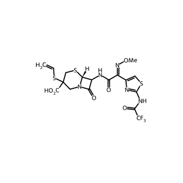 C=CSC1(C(=O)O)CS[C@@H]2C(NC(=O)C(=NOC)c3csc(NC(=O)C(F)(F)F)n3)C(=O)N2C1